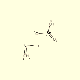 C=CCO[Se](=O)O